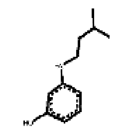 CC(C)CCNc1cccc(O)c1